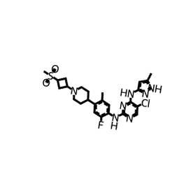 Cc1cc(Nc2nc(Nc3cc(C)c(C4CCN(C5CC(S(C)(=O)=O)C5)CC4)cc3F)ncc2Cl)n[nH]1